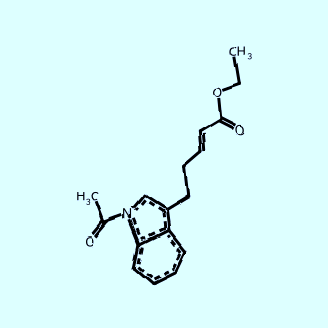 CCOC(=O)C=CCCc1cn(C(C)=O)c2ccccc12